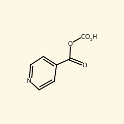 O=C(O)OC(=O)c1ccncc1